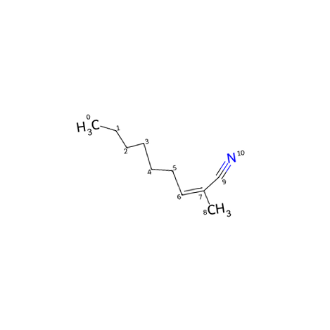 CCCCCCC=C(C)C#N